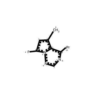 Cc1cc(F)n2ncnc(C(C)C)c12